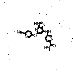 CNC(=O)c1ccc(Nc2cc(Oc3ccc(C#N)nc3)nc3[nH]cnc23)cn1